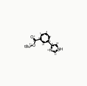 CC(C)(C)OC(=O)c1cccc(-c2c[nH]cn2)c1